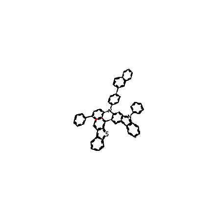 c1ccc(-c2ccc(N(c3ccc(-c4ccc5ccccc5c4)cc3)c3cc4c(cc3-c3cccc5c3sc3ccccc35)c3ccccc3n4-c3ccccc3)cc2)cc1